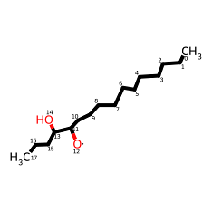 CCCCCCCCCCCC([O])C(O)CCC